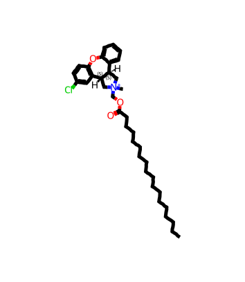 CCCCCCCCCCCCCCCCCC(=O)OC[N+]1(C)C[C@@H]2c3ccccc3Oc3ccc(Cl)cc3[C@H]2C1